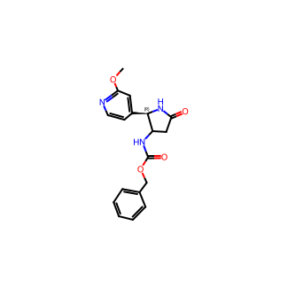 COc1cc([C@H]2NC(=O)CC2NC(=O)OCc2ccccc2)ccn1